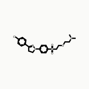 CN(C)CCOCCS(=O)(=O)c1ccc(N2CCC(c3ccc(Cl)cc3)=N2)cc1